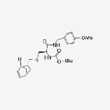 COc1ccc(CNC(=O)[C@H](CSC[C@@H]2CC3C=C[C@H]2C3)NC(=O)OC(C)(C)C)cc1